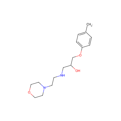 [CH2]c1ccc(OCC(O)CNCCN2CCOCC2)cc1